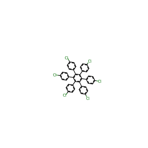 Clc1ccc(-c2c(-c3ccc(Cl)cc3)c(-c3ccc(Cl)cc3)c(-c3ccc(Cl)cc3)c(-c3ccc(Cl)cc3)c2-c2ccc(Cl)cc2)cc1